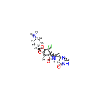 CSc1nc(C)[nH]c(=O)c1CNC(=O)c1cc(Cl)c2c(c1C)O[C@@](C)([C@H]1CC[C@H](N(C)C)CC1)O2